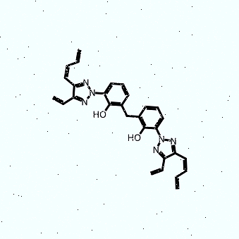 C=C/C=C\c1nn(-c2cccc(Cc3cccc(-n4nc(C=C)c(/C=C\C=C)n4)c3O)c2O)nc1C=C